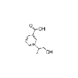 CC(CO)c1cccc(C(=O)O)c1